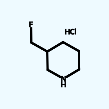 Cl.FCC1CCCNC1